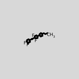 CCCCc1ccc(-c2cc(F)c(C#Cc3ccc(F)c(F)c3)c(F)c2)cc1